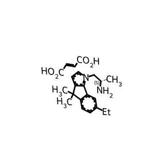 CCc1ccc2c(c1)-c1c(ccn1C[C@H](C)N)C2(C)C.O=C(O)C=CC(=O)O